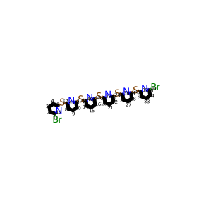 Brc1cccc(Sc2cccc(Sc3cccc(Sc4cccc(Sc5cccc(Sc6cccc(Br)n6)n5)n4)n3)n2)n1